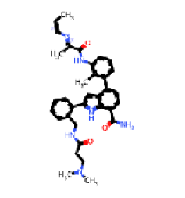 C/C=C\N=C(/C)C(=O)Nc1cccc(-c2ccc(C(N)=O)c3[nH]c(-c4ccccc4CNC(=O)CCN(C)C)cc23)c1C